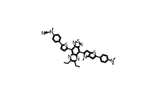 CCc1nc2c(-c3ccc(-c4ccc(N(C)C#N)cc4)s3)c3nsnc3c(-c3cc4sc(-c5ccc(N(C)C)cc5)cc4n3C)c2nc1CC